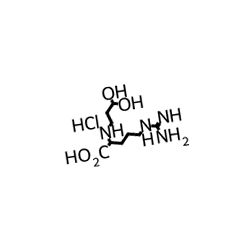 Cl.N=C(N)NCCCC(NCCC(O)O)C(=O)O